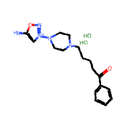 Cl.Cl.[NH-]c1c[n+](N2CCN(CCCCC(=O)c3ccccc3)CC2)no1